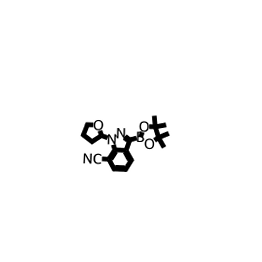 CC1(C)OB(c2nn(C3CCCO3)c3c(C#N)cccc23)OC1(C)C